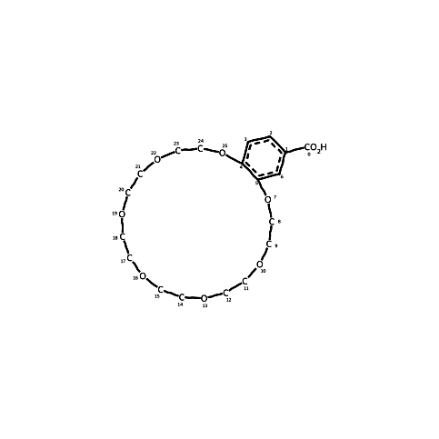 O=C(O)c1ccc2c(c1)OCCOCCOCCOCCOCCOCCO2